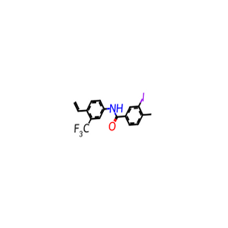 C=Cc1ccc(NC(=O)c2ccc(C)c(I)c2)cc1C(F)(F)F